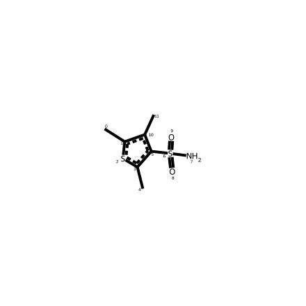 Cc1sc(C)c(S(N)(=O)=O)c1C